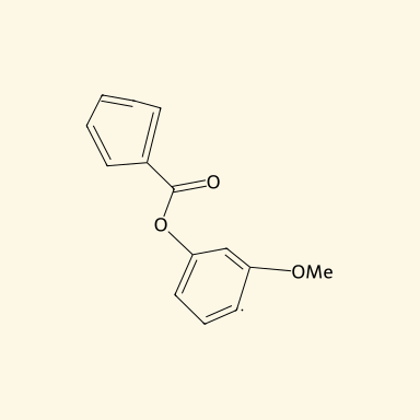 COc1[c]ccc(OC(=O)c2ccccc2)c1